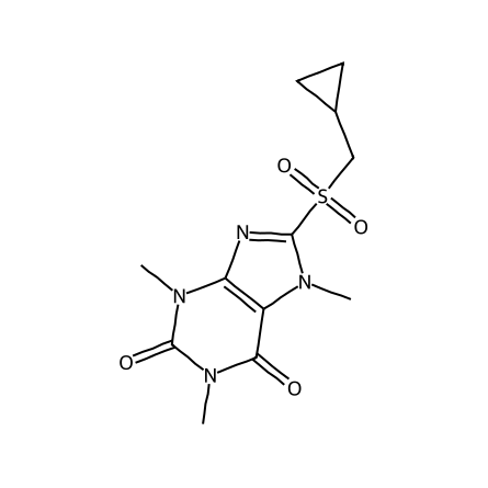 Cn1c(=O)c2c(nc(S(=O)(=O)CC3CC3)n2C)n(C)c1=O